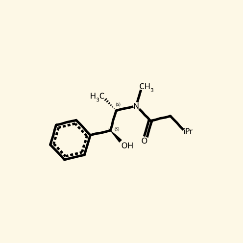 CC(C)CC(=O)N(C)[C@@H](C)[C@@H](O)c1ccccc1